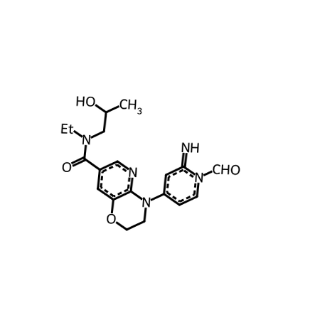 CCN(CC(C)O)C(=O)c1cnc2c(c1)OCCN2c1ccn(C=O)c(=N)c1